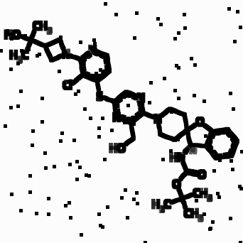 CC(C)(C)OC(=O)N[C@@H]1c2ccccc2OC12CCN(c1ncc(Sc3ccnc(N4CC(C(C)(C)O)C4)c3Cl)nc1CO)CC2